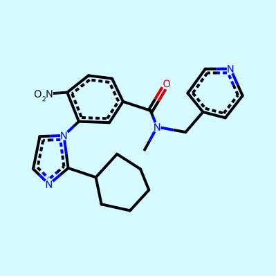 CN(Cc1ccncc1)C(=O)c1ccc([N+](=O)[O-])c(-n2ccnc2C2CCCCC2)c1